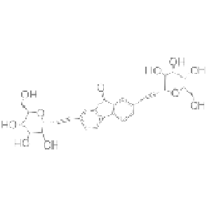 O=C1c2cc(C#C[C@H]3O[C@H](CO)[C@@H](O)[C@H](O)[C@@H]3O)ccc2-c2ccc(C#C[C@H]3O[C@H](CO)[C@@H](O)[C@H](O)[C@@H]3O)cc21